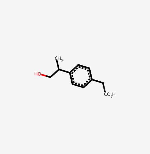 CC(CO)c1ccc(CC(=O)O)cc1